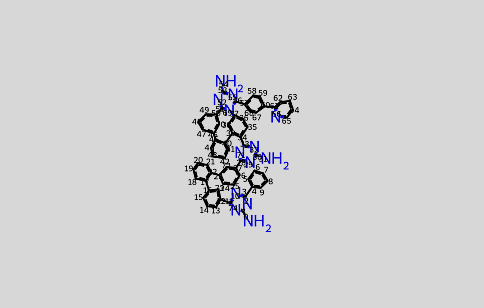 Nc1nc(-c2ccccc2)nc(-c2cccc(-c3ccccc3-c3cccc(-c4nc(N)nc(-c5ccccc5-c5ccccc5-c5cccc(-c6nc(N)nc(-c7ccc(-c8ccccn8)cc7)n6)c5)n4)c3)c2)n1